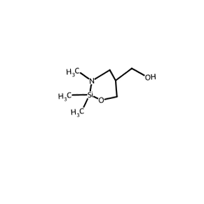 CN1CC(CO)CO[Si]1(C)C